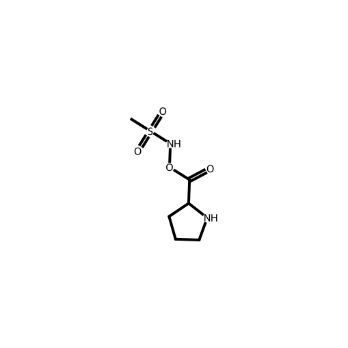 CS(=O)(=O)NOC(=O)C1CCCN1